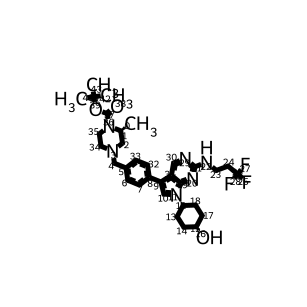 C[C@H]1CN(Cc2ccc(-c3cn([C@H]4CC[C@H](O)CC4)c4nc(NCCC(F)(F)F)ncc34)cc2)CCN1C(=O)OC(C)(C)C